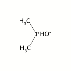 C[I+]C.[OH-]